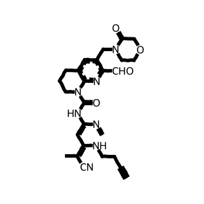 C#CCCNC(/C=C(\N=C)NC(=O)N1CCCc2cc(CN3CCOCC3=O)c(C=O)nc21)=C(/C)C#N